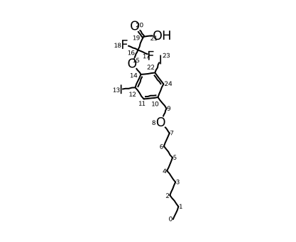 CCCCCCCCOCc1cc(I)c(OC(F)(F)C(=O)O)c(I)c1